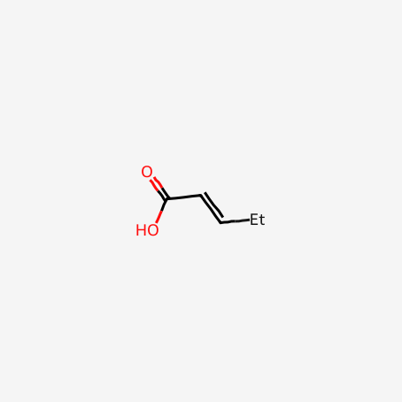 [CH2]CC=CC(=O)O